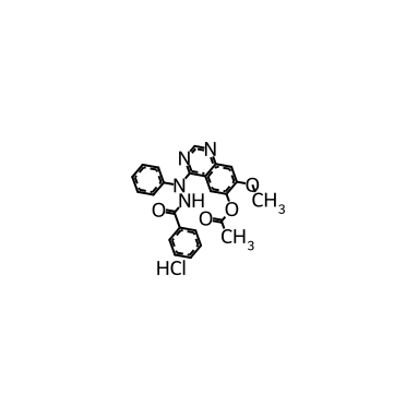 COc1cc2ncnc(N(NC(=O)c3ccccc3)c3ccccc3)c2cc1OC(C)=O.Cl